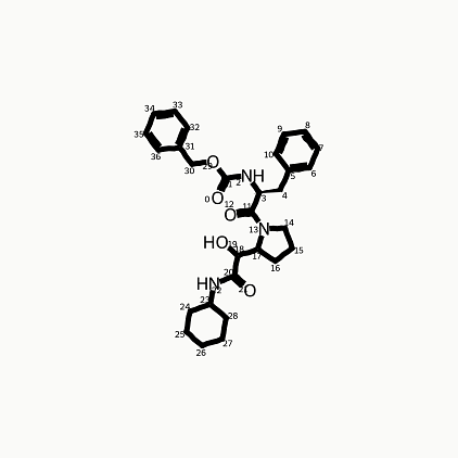 O=C(N[C@@H](Cc1ccccc1)C(=O)N1CCCC1C(O)C(=O)NC1CCCCC1)OCc1ccccc1